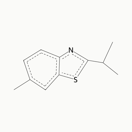 Cc1ccc2nc(C(C)C)sc2c1